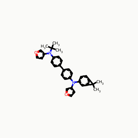 CC1(C)c2ccc(N(c3ccc(-c4ccc(N(c5ccoc5)C(C)(C)C)cc4)cc3)c3ccoc3)cc21